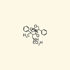 CC(C)(c1ccccc1)C(CNC(=O)O)C(=O)N1C(=O)OCC1c1ccccc1